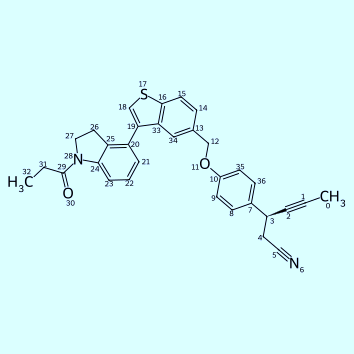 CC#C[C@@H](CC#N)c1ccc(OCc2ccc3scc(-c4cccc5c4CCN5C(=O)CC)c3c2)cc1